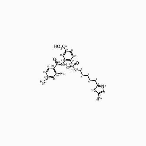 CC(C)c1cnc(CCCCCNS(=O)(=O)c2ccc(C(=O)O)cc2NC(=O)c2ccc(C(F)(F)F)cc2F)s1